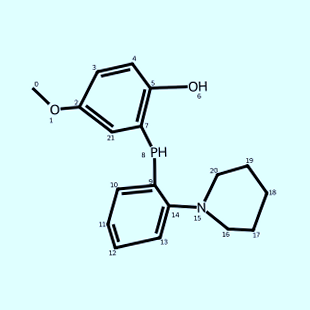 COc1ccc(O)c(Pc2ccccc2N2CCCCC2)c1